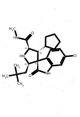 CNC(=O)[C@@H]1N[C@H](CC(C)(C)C)[C@]2(C(=O)Nc3cc(Cl)ccc32)[C@H]1C1CCCC1